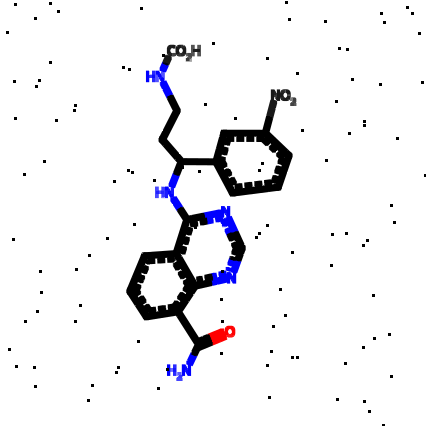 NC(=O)c1cccc2c(NC(CCNC(=O)O)c3cccc([N+](=O)[O-])c3)ncnc12